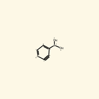 OB(O)c1c#cncc1